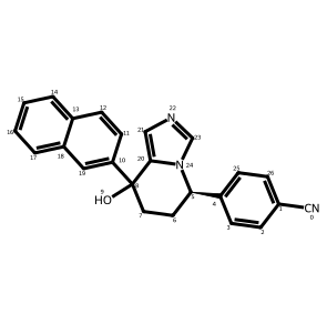 N#Cc1ccc([C@H]2CCC(O)(c3ccc4ccccc4c3)c3cncn32)cc1